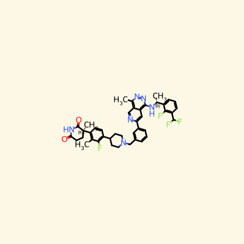 Cc1c([C@@]2(C)CCC(=O)NC2=O)ccc(C2CCN(Cc3cccc(-c4cc5c(N[C@H](C)c6cccc(C(F)F)c6F)nnc(C)c5cn4)c3)CC2)c1F